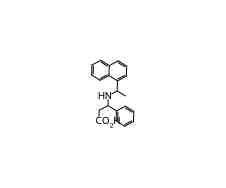 CC(NC(CC(=O)O)c1ccccc1)c1cccc2ccccc12